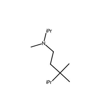 CC(C)N(C)CCC(C)(C)C(C)C